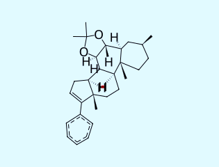 C[C@H]1CC[C@@]2(C)[C@H](C1)[C@H]1OC(C)(C)O[C@@H]1[C@@H]1[C@@H]2CC[C@]2(C)C(c3ccccc3)=CC[C@@H]12